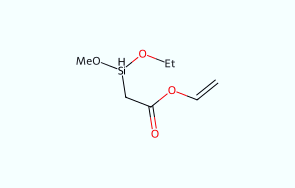 C=COC(=O)C[SiH](OC)OCC